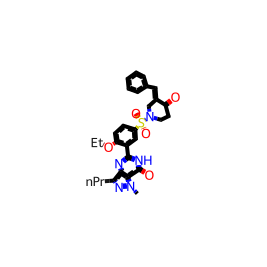 CCCc1nn(C)c2c(=O)[nH]c(-c3cc(S(=O)(=O)N4CCC(=O)/C(=C/c5ccccc5)C4)ccc3OCC)nc12